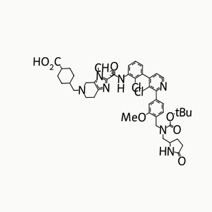 COc1cc(-c2nccc(-c3cccc(NC(=O)c4nc5c(n4C)CN(CC4CCC(C(=O)O)CC4)CC5)c3Cl)c2Cl)ccc1CN(CC1CCC(=O)N1)C(=O)OC(C)(C)C